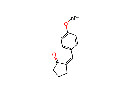 CCCOc1ccc(C=C2CCCC2=O)cc1